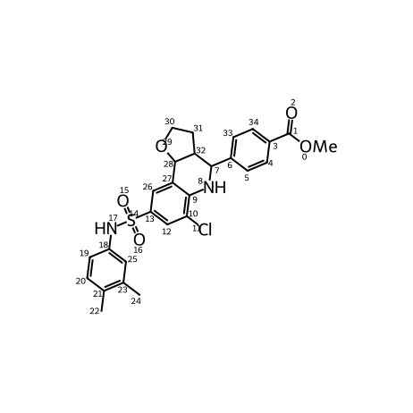 COC(=O)c1ccc(C2Nc3c(Cl)cc(S(=O)(=O)Nc4ccc(C)c(C)c4)cc3C3OCCC23)cc1